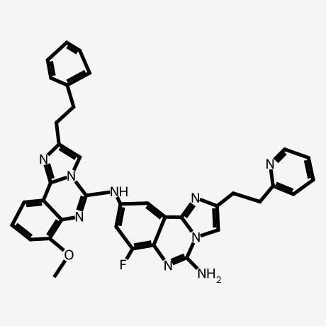 COc1cccc2c1nc(Nc1cc(F)c3nc(N)n4cc(CCc5ccccn5)nc4c3c1)n1cc(CCc3ccccc3)nc21